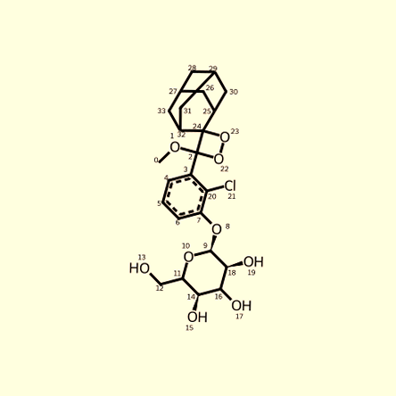 COC1(c2cccc(O[C@@H]3OC(CO)[C@H](O)C(O)[C@@H]3O)c2Cl)OOC12C1CC3CC(C1)CC2C3